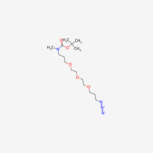 CN(CCCOCCOCCOCCCN=[N+]=[N-])C(=O)OC(C)(C)C